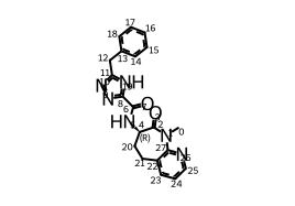 CN1C(=O)[C@H](NC(=O)c2nnc(Cc3ccccc3)[nH]2)CCc2cccnc21